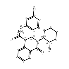 NC(=O)[C@@H]1c2ccccc2C(=O)N([C@H]2CCCC[C@@H]2O)[C@H]1c1ccc(Cl)cc1Cl